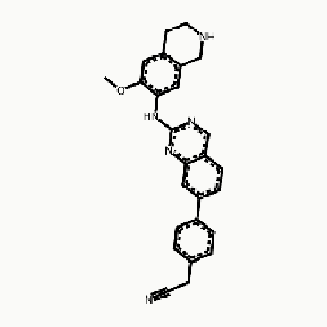 COc1cc2c(cc1Nc1ncc3ccc(-c4ccc(CC#N)cc4)cc3n1)CNCC2